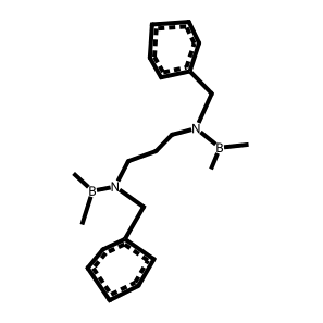 CB(C)N(CCCN(Cc1ccccc1)B(C)C)Cc1ccccc1